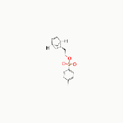 Cc1ccc(S(=O)(=O)OCC[C@H]2C[C@H]3C=C[C@@H]2C3)cc1